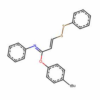 CC(C)(C)c1ccc(OC(/C=C/SSc2ccccc2)=N\c2ccccc2)cc1